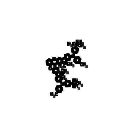 Cc1ccc(N(c2ccc([Si](C)(C)C)cc2)c2ccc3c(c2)C(C)(C)c2cc4c(cc2-3)Oc2cccc3c2B4c2cc4c(cc2O3)-c2ccc(N(c3ccc(C)cc3)c3ccc([Si](C)(C)C)cc3)cc2C4(C)C)cc1